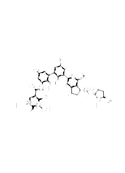 COc1nc(-c2cc(F)cc(-c3cc(F)cc(NC(=O)c4cn(C)c(=O)n(C)c4=O)c3Cl)c2Cl)cc2c1[C@@H](NC[C@@H]1CCC(=O)N1)CC2